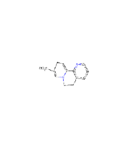 CCOC(=O)C1=CN2CCc3cccnc3C2=CC1